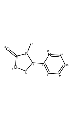 CN1C(=O)OCC1c1ccccn1